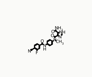 CN(C(=O)c1nc[nH]c1C(N)=O)c1ccc(NC(=O)c2ccc(C#N)c(F)c2)cc1